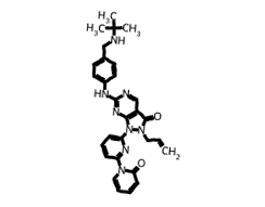 C=CCn1c(=O)c2cnc(Nc3ccc(CNC(C)(C)C)cc3)nc2n1-c1cccc(-n2ccccc2=O)n1